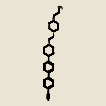 CCC[Si@H]1CC[C@H](CC[C@H]2CC[C@H](c3ccc(-c4ccc(C#N)cc4)cc3)CC2)CC1